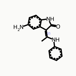 C/C(Nc1ccccc1)=C1/C(=O)Nc2ccc(N)cc21